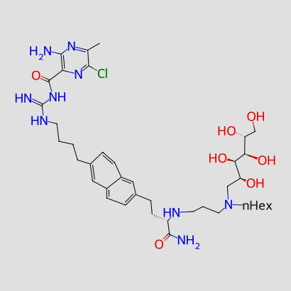 CCCCCCN(CCCN[C@@H](CCc1ccc2cc(CCCCNC(=N)NC(=O)c3nc(Cl)c(C)nc3N)ccc2c1)C(N)=O)C[C@H](O)[C@@H](O)[C@H](O)[C@H](O)CO